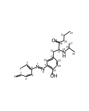 C=C/C=C\C(=C/C)N=Nc1cc(CC(NC(C)C)C(=O)CCC)ccc1O